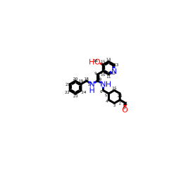 O=CC1CCC(CN/C(=C\c2cnccc2O)NCc2ccccc2)CC1